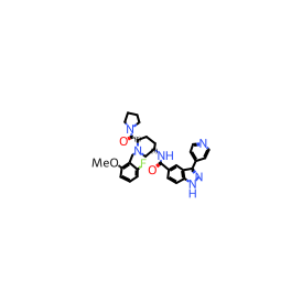 COc1cccc(F)c1CN1C[C@H](NC(=O)c2ccc3[nH]nc(-c4ccncc4)c3c2)CC[C@H]1C(=O)N1CCCC1